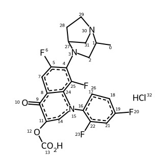 CC1CN(c2c(F)cc3c(=O)c(OC(=O)O)cn(-c4ccc(F)cc4F)c3c2F)C2CCN1C2.Cl